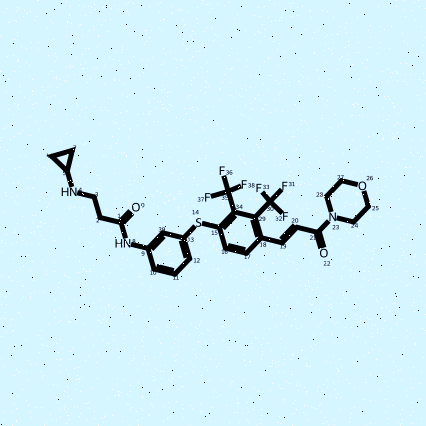 O=C(CCNC1CC1)Nc1cccc(Sc2ccc(/C=C/C(=O)N3CCOCC3)c(C(F)(F)F)c2C(F)(F)F)c1